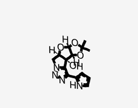 CC1(C)O[C@H]2O[C@@H]3Cn4nnc(-c5ccc[nH]5)c4[C@]3(O)[C@H]2O1